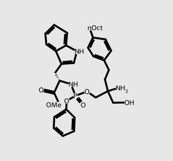 CCCCCCCCc1ccc(CCC(N)(CO)COP(=O)(N[C@@H](Cc2c[nH]c3ccccc23)C(=O)OC)Oc2ccccc2)cc1